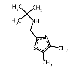 Cc1nc(CNC(C)(C)C)sc1C